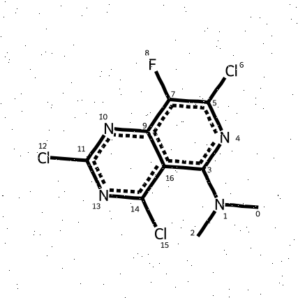 CN(C)c1nc(Cl)c(F)c2nc(Cl)nc(Cl)c12